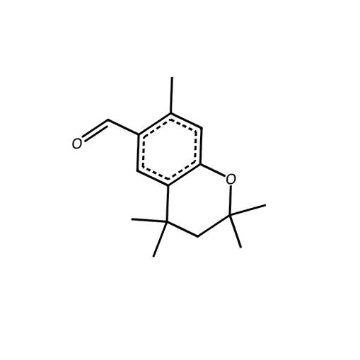 Cc1cc2c(cc1C=O)C(C)(C)CC(C)(C)O2